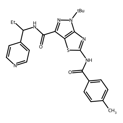 CCC(NC(=O)c1nn(C(C)(C)C)c2nc(NC(=O)c3ccc(C)cc3)sc12)c1ccncc1